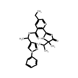 CCc1cnc(C2=NC(=O)C(C)(C(C)C)N2)c(C(=O)OC(C)c2cnn(-c3ccccc3)c2)c1